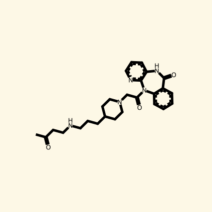 CC(=O)CCNCCCC1CCN(CC(=O)N2c3ccccc3C(=O)Nc3cccnc32)CC1